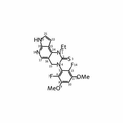 CCN1C(=S)N(c2c(F)c(OC)cc(OC)c2F)Cc2cnc3[nH]ccc3c21